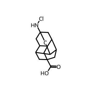 O=C(O)C12CC3C4CC5(NCl)CC3C(C1)C(C5)C4C2